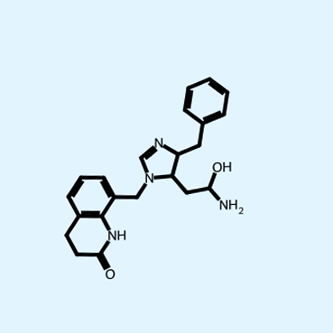 NC(O)CC1C(Cc2ccccc2)N=CN1Cc1cccc2c1NC(=O)CC2